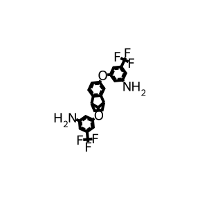 Nc1cc(Oc2ccc3c(c2)C2CCC3C2Oc2cc(N)cc(C(F)(F)F)c2)cc(C(F)(F)F)c1